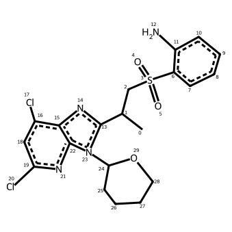 CC(CS(=O)(=O)c1ccccc1N)c1nc2c(Cl)cc(Cl)nc2n1C1CCCCO1